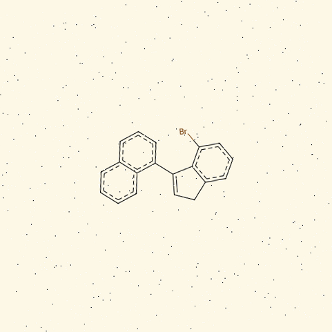 Brc1cccc2c1C(c1cccc3ccccc13)=CC2